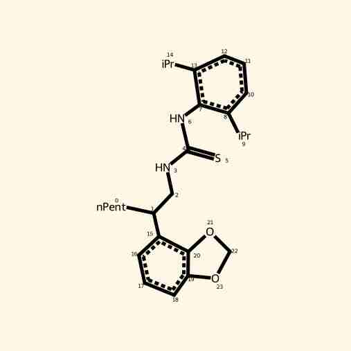 CCCCCC(CNC(=S)Nc1c(C(C)C)cccc1C(C)C)c1cccc2c1OCO2